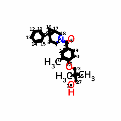 Cc1cc(C(=O)N2CC[C@@]3(c4ccccc4)CC3C2)ccc1OCC(C)(C)CO